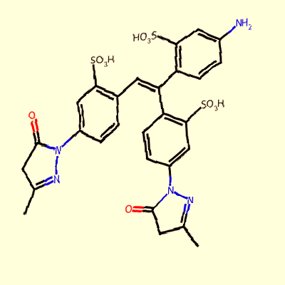 CC1=NN(c2ccc(C=C(c3ccc(N)cc3S(=O)(=O)O)c3ccc(N4N=C(C)CC4=O)cc3S(=O)(=O)O)c(S(=O)(=O)O)c2)C(=O)C1